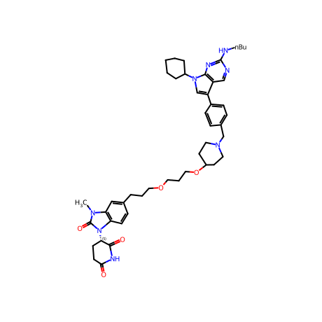 CCCCNc1ncc2c(-c3ccc(CN4CCC(OCCCOCCCc5ccc6c(c5)n(C)c(=O)n6[C@H]5CCC(=O)NC5=O)CC4)cc3)cn(C3CCCCC3)c2n1